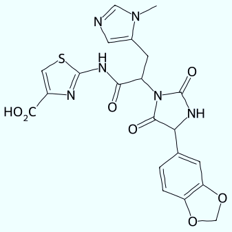 Cn1cncc1CC(C(=O)Nc1nc(C(=O)O)cs1)N1C(=O)NC(c2ccc3c(c2)OCO3)C1=O